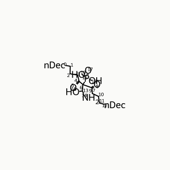 CCCCCCCCCCCCCC(=O)C(C(=O)CCCCCCCCCCCCC)(C(N)O)P(=O)(O)O